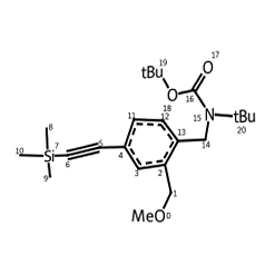 COCc1cc(C#C[Si](C)(C)C)ccc1CN(C(=O)OC(C)(C)C)C(C)(C)C